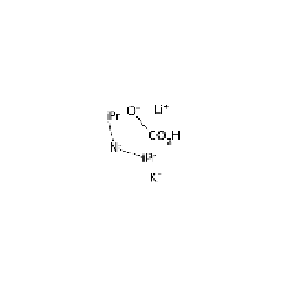 CC(C)[N-]C(C)C.O=C([O-])O.[K+].[Li+]